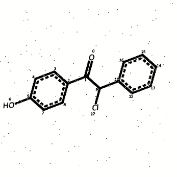 O=C(c1ccc(O)cc1)C(Cl)c1ccccc1